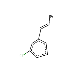 CC(C)/C=C/c1cccc(Cl)c1